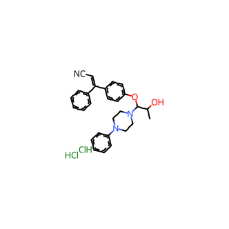 CC(O)C(Oc1ccc(C(=CC#N)c2ccccc2)cc1)N1CCN(c2ccccc2)CC1.Cl.Cl